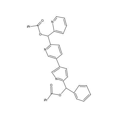 CC(C)C(=O)OC(c1ccccc1)c1ccc(-c2ccc(C(OC(=O)C(C)C)c3ccccn3)nc2)cn1